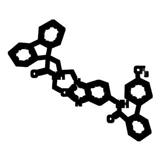 O=C(Nc1ccc2c(c1)ncn2CCCC1(C(=O)NCC(F)(F)F)c2ccccc2-c2ccccc21)c1ccccc1-c1ccc(C(F)(F)F)cc1